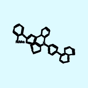 CNc1ccccc1-c1cccc(C2CC=CC=C2N(c2ccccc2)c2ccc(C3=c4ccccc4=CCC3)cc2)c1